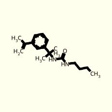 C=C(C)c1cccc(C(C)(C)NC(=O)NCCCC)c1